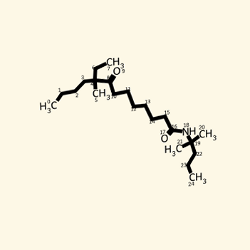 CCCCC(C)(CC)C(=O)CCCCCCC(=O)NC(C)(C)CCC